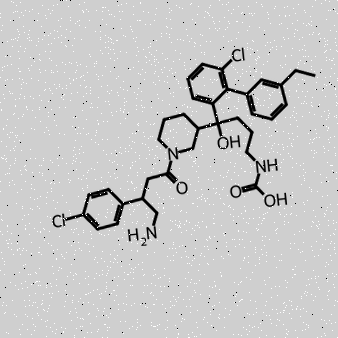 CCc1cccc(-c2c(Cl)cccc2C(O)(CCCNC(=O)O)C2CCCN(C(=O)CC(CN)c3ccc(Cl)cc3)C2)c1